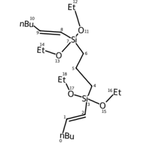 CCCCC=C[Si](CCC[Si](C=CCCCC)(OCC)OCC)(OCC)OCC